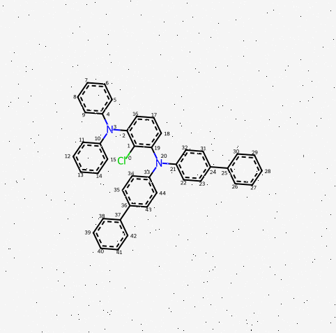 Clc1c(N(c2ccccc2)c2ccccc2)cccc1N(c1ccc(-c2ccccc2)cc1)c1ccc(-c2ccccc2)cc1